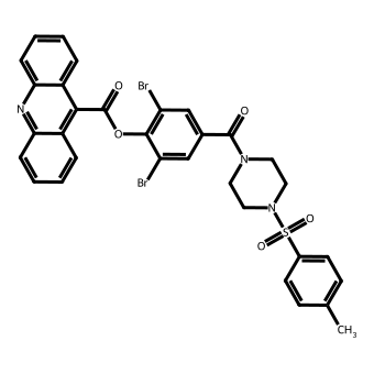 Cc1ccc(S(=O)(=O)N2CCN(C(=O)c3cc(Br)c(OC(=O)c4c5ccccc5nc5ccccc45)c(Br)c3)CC2)cc1